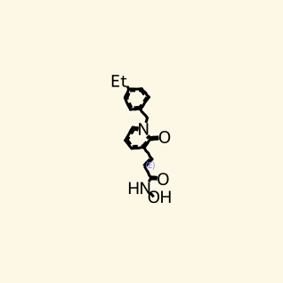 CCc1ccc(Cn2cccc(/C=C/C(=O)NO)c2=O)cc1